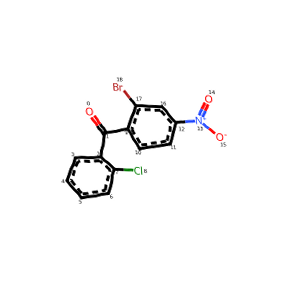 O=C(c1ccccc1Cl)c1ccc([N+](=O)[O-])cc1Br